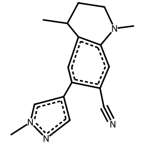 CC1CCN(C)c2cc(C#N)c(-c3cnn(C)c3)cc21